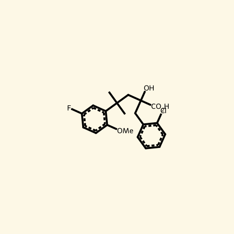 COc1ccc(F)cc1C(C)(C)CC(O)(Cc1ccccc1Cl)C(=O)O